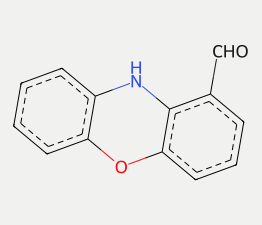 O=Cc1cccc2c1Nc1ccccc1O2